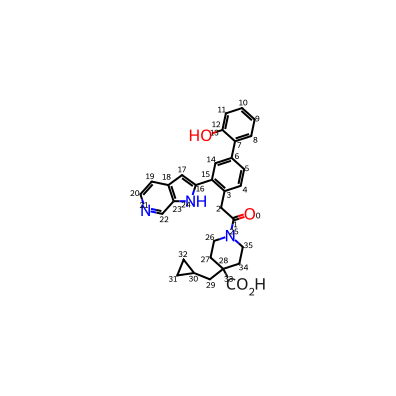 O=C(Cc1ccc(-c2ccccc2O)cc1-c1cc2ccncc2[nH]1)N1CCC(CC2CC2)(C(=O)O)CC1